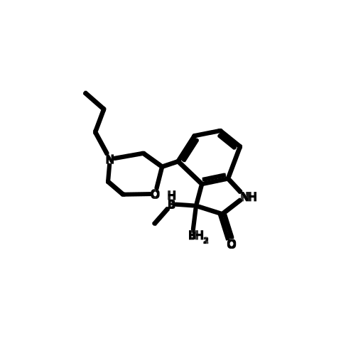 BC1(BC)C(=O)Nc2cccc(C3CN(CCC)CCO3)c21